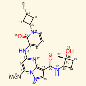 CNc1cc(Nc2cccn([C@H]3C[C@H](F)C3)c2=O)nc2c(C(=O)NC3CC[C@@]3(C)O)cnn12